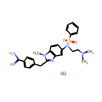 CN(C)CCN(c1ccc2c(c1)nc(Cc1ccc(C(=N)N)cc1)n2C)S(=O)(=O)c1ccccc1.Cl.Cl